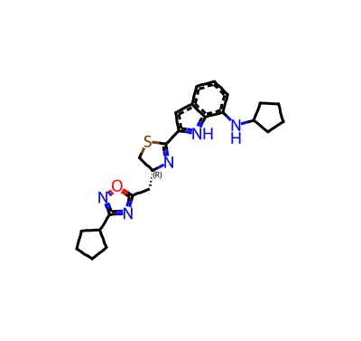 c1cc(NC2CCCC2)c2[nH]c(C3=N[C@H](Cc4nc(C5CCCC5)no4)CS3)cc2c1